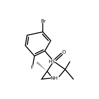 CC(C)(C)[SH](=O)(c1cc(Br)ccc1F)[C@]1(C)CN1